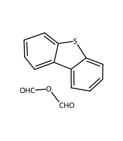 O=COC=O.c1ccc2c(c1)sc1ccccc12